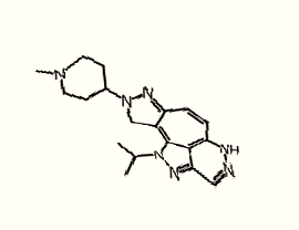 CC(C)n1nc2cn[nH]c3ccc4c(c1c2=3)CN(C1CCN(C)CC1)N=4